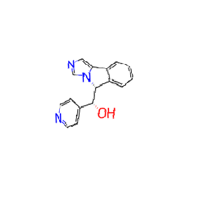 O[C@H](c1ccncc1)[C@H]1c2ccccc2-c2cncn21